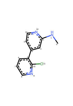 CNc1cc(-c2cccnc2Cl)ccn1